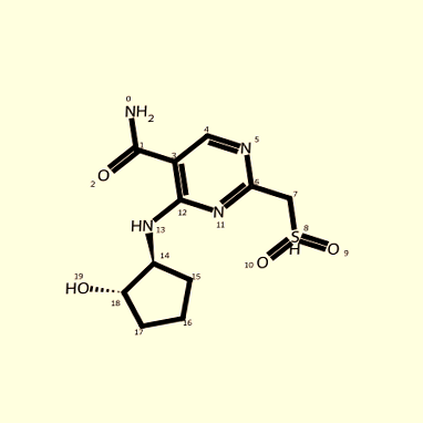 NC(=O)c1cnc(C[SH](=O)=O)nc1N[C@H]1CCC[C@@H]1O